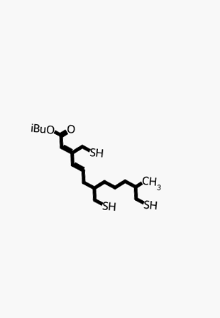 CC(C)COC(=O)C=C(C=CCC(CS)CCCC(C)CS)CS